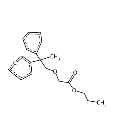 CCCOC(=O)COCC(C)(c1ccccc1)c1ccccc1